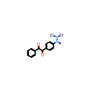 CCN(CC)N(C)c1ccc(C(=O)C(=O)c2ccccc2)cc1